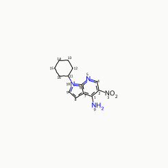 Nc1c([N+](=O)[O-])cnc2c1ccn2C1CCCCC1